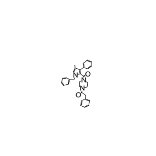 Cc1cn(Cc2ccccc2)c(C(=O)N2CCN(C(=O)Cc3ccccc3)CC2)c1-c1ccccc1